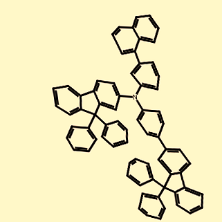 c1ccc(C2(c3ccccc3)c3ccccc3-c3ccc(-c4ccc(N(c5cccc(-c6cccc7ccccc67)c5)c5ccc6c(c5)C(c5ccccc5)(c5ccccc5)c5ccccc5-6)cc4)cc32)cc1